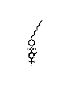 COCCOCCCN1CCN(S(=O)(=O)c2ccc(C(F)(F)F)nc2C)CC1